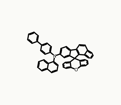 c1ccc(-c2ccc(N(c3ccc4c(c3)C3(c5ccccc5Oc5ccccc53)c3c-4ccc4ccccc34)c3cccc4ccccc34)cc2)cc1